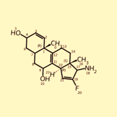 C[C@]12C=CC(O)CC1CC(O)C1=C2CC[C@]2(C)C(N)C(F)=C[C@@H]12